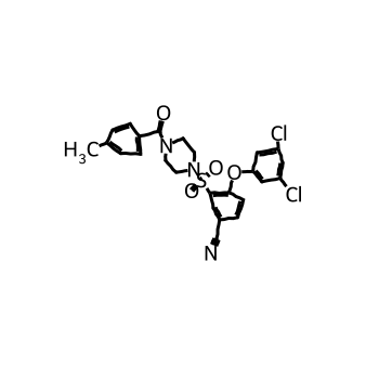 Cc1ccc(C(=O)N2CCN(S(=O)(=O)c3cc(C#N)ccc3Oc3cc(Cl)cc(Cl)c3)CC2)cc1